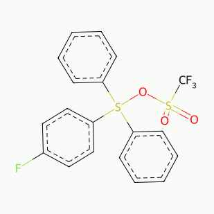 O=S(=O)(OS(c1ccccc1)(c1ccccc1)c1ccc(F)cc1)C(F)(F)F